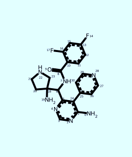 Nc1ncnc(C(NC(=O)c2ccc(F)cc2F)C2(N)CCNC2)c1-c1ccncc1